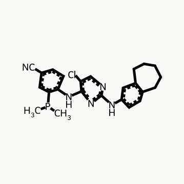 CP(C)c1cc(C#N)ccc1Nc1nc(Nc2ccc3c(c2)CCCCC3)ncc1Cl